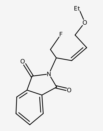 CCOC/C=C\C(CF)N1C(=O)c2ccccc2C1=O